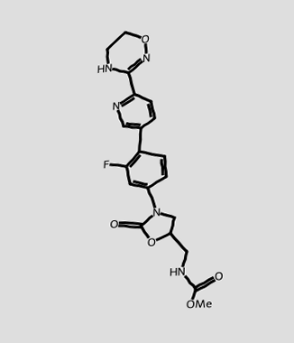 COC(=O)NCC1CN(c2ccc(-c3ccc(C4=NOCCN4)nc3)c(F)c2)C(=O)O1